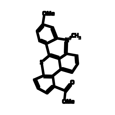 COC(=O)c1cccc2c1-c1cccc3c1c(c1ccc(OC)cc1[n+]3C)S2